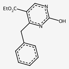 CCOC(=O)c1cnc(O)nc1Cc1ccccc1